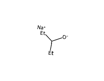 CCC([O-])CC.[Na+]